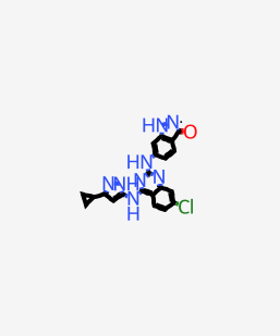 O=C1[N]Nc2cc(Nc3nc(Nc4cc(C5CC5)n[nH]4)c4ccc(Cl)cc4n3)ccc21